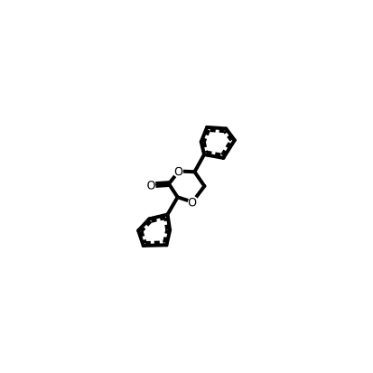 O=C1OC(c2ccccc2)COC1c1ccccc1